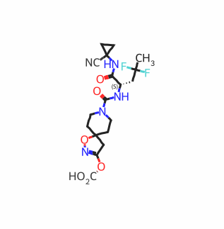 CC(F)(F)C[C@H](NC(=O)N1CCC2(CC1)CC(OC(=O)O)=NO2)C(=O)NC1(C#N)CC1